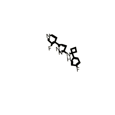 Fc1ccc(C2(Nc3ccc(-c4ccncc4F)nn3)CCC2)cc1